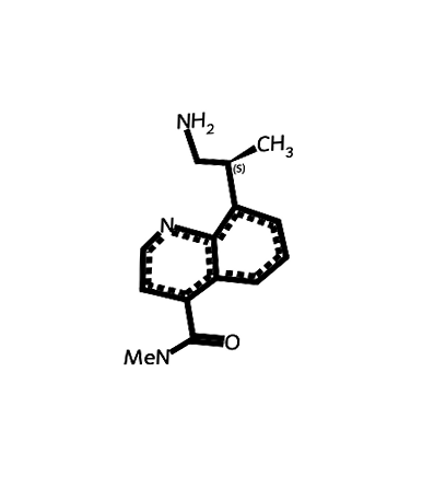 CNC(=O)c1ccnc2c([C@H](C)CN)cccc12